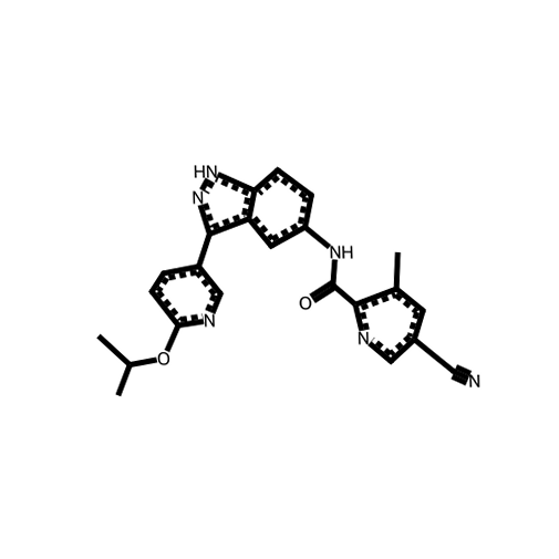 Cc1cc(C#N)cnc1C(=O)Nc1ccc2[nH]nc(-c3ccc(OC(C)C)nc3)c2c1